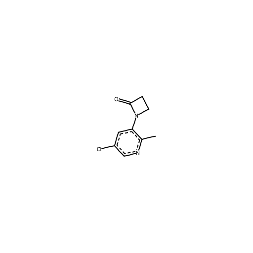 Cc1ncc(Cl)cc1N1CCC1=O